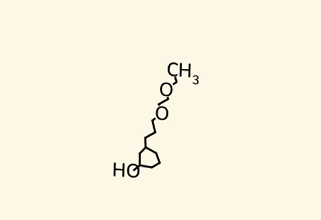 CCOCCOCCCC1CCCC(O)C1